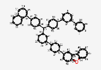 c1ccc(-c2cccc(-c3ccc(C(c4ccc(-c5cccc6ccccc56)cc4)c4cccc(-c5ccc(-c6ccc7oc8ccccc8c7c6)cc5)c4)cc3)c2)cc1